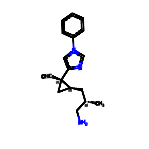 C[C@H](CN)C[C@H]1C[C@]1(C=O)c1cn(-c2ccccc2)cn1